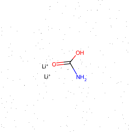 NC(=O)O.[Li+].[Li+]